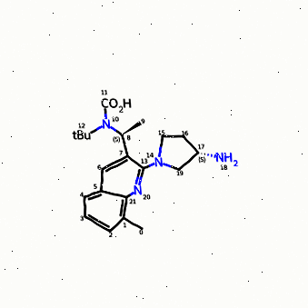 Cc1cccc2cc([C@H](C)N(C(=O)O)C(C)(C)C)c(N3CC[C@H](N)C3)nc12